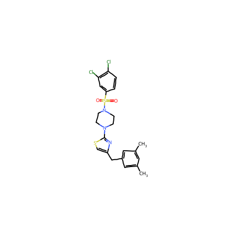 Cc1cc(C)cc(Cc2csc(N3CCN(S(=O)(=O)c4ccc(Cl)c(Cl)c4)CC3)n2)c1